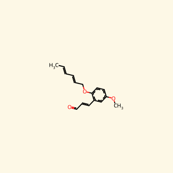 CC=CC=CCOc1ccc(OC)cc1C=CC=O